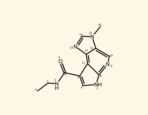 CCNC(=O)c1c[nH]c2ncc3c(ncn3C)c12